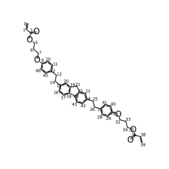 C=CC(=O)OCCCOc1ccc(CCc2ccc3c(c2)Cc2cc(CCc4ccc(OCCCOC(=O)C=C)cc4)ccc2-3)cc1